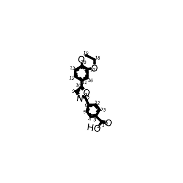 O=C(O)c1ccc(-c2ncc(-c3ccc4c(c3)OCCO4)o2)cc1